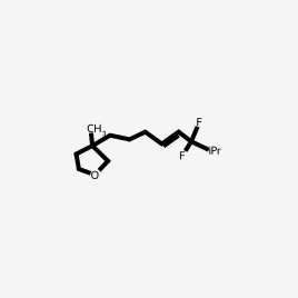 CC(C)C(F)(F)/C=C/CCCC1(C)CCOC1